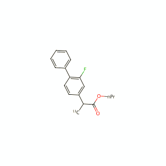 CCCOC(=O)C([11CH3])c1ccc(-c2ccccc2)c(F)c1